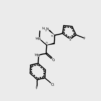 CN[C@@H](C[C@@H](N)c1ccc(F)s1)C(=O)Nc1ccc(F)c(Cl)c1